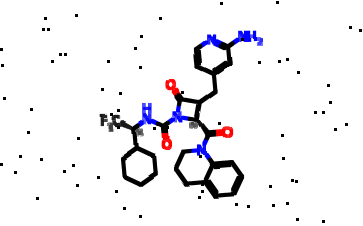 Nc1cc(CC2C(=O)N(C(=O)N[C@@H](C3CCCCC3)C(F)(F)F)[C@@H]2C(=O)N2CCCc3ccccc32)ccn1